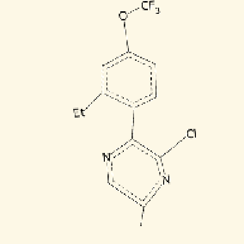 CCc1cc(OC(F)(F)F)ccc1-c1ncc(C)nc1Cl